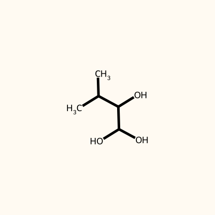 CC(C)C(O)C(O)O